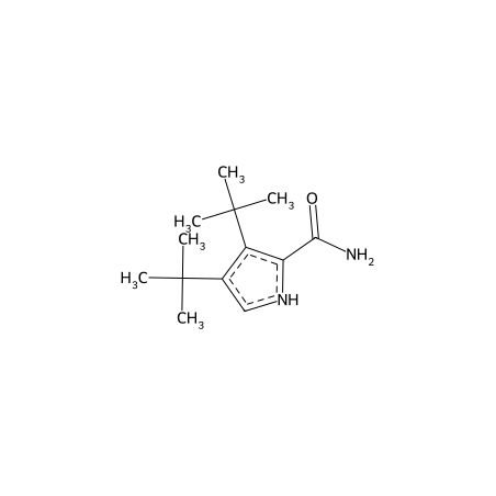 CC(C)(C)c1c[nH]c(C(N)=O)c1C(C)(C)C